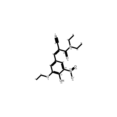 CCOc1cc(C=C(C#N)C(=O)N(CC)CC)cc([N+](=O)[O-])c1O